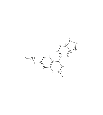 CNCc1ccc2c(c1)CN(C)CC2c1ccc2occc2c1